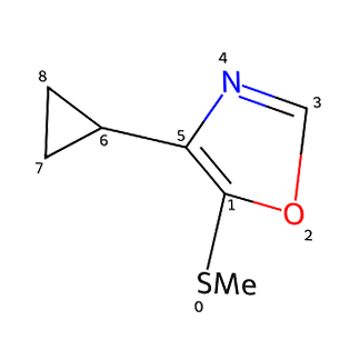 CSc1ocnc1C1CC1